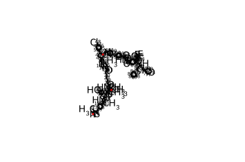 Cc1ncsc1-c1ccc([C@H](C)NC(=O)[C@@H]2C[C@@H](O)CN2C(=O)[C@@H](NC(=O)CCCCCC(=O)N2CCN(CC3(C)CCC(c4ccc(Cl)cc4)=C(CN4CCN(c5ccc(C(=O)NS(=O)(=O)c6ccc(N[C@H](CCN7CCOCC7)CSc7ccccc7)c(S(=O)(=O)C(F)(F)F)c6)cc5)CC4)C3)CC2)C(C)(C)C)cc1